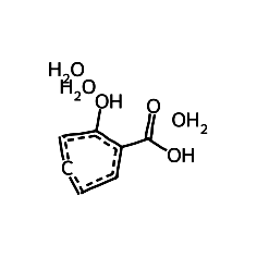 O.O.O.O=C(O)c1ccccc1O